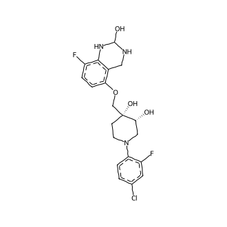 OC1NCc2c(OC[C@]3(O)CCN(c4ccc(Cl)cc4F)C[C@H]3O)ccc(F)c2N1